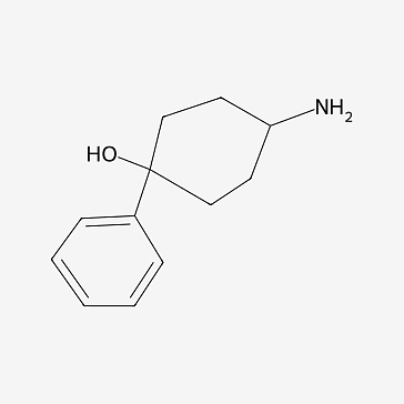 NC1CCC(O)(c2ccccc2)CC1